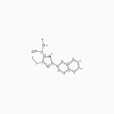 CCc1oc(-c2ccc3ccccc3c2)nc1C(Cl)OC